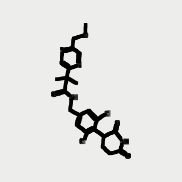 COCc1cnc(C(C)(C)C(=O)NCc2cc(Cl)c(C3CCC(=O)NC3=O)c(Cl)c2)cn1